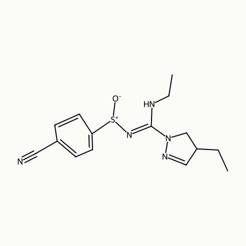 CCN/C(=N\[S+]([O-])c1ccc(C#N)cc1)N1CC(CC)C=N1